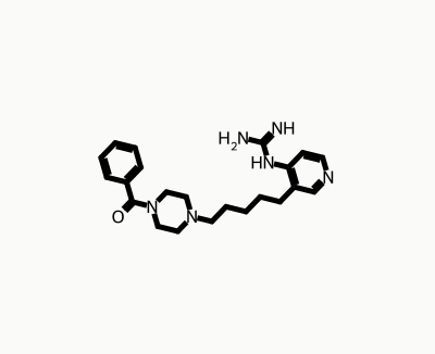 N=C(N)Nc1ccncc1CCCCCN1CCN(C(=O)c2ccccc2)CC1